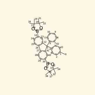 Cc1ccc(C2(c3ccccc3)c3cc(B4OC(C)(C)C(C)(C)O4)ccc3-c3ccc(B4OC(C)(C)C(C)(C)O4)cc32)cc1